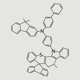 CC1CC2=C(Sc3ccccc3C23c2ccccc2-c2ccccc23)c2c1c1ccccc1n2-c1ccc(N(c2ccc(-c3ccccc3)cc2)c2ccc3c(c2)C(C)(C)c2ccccc2-3)cc1